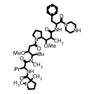 CCC(C)C(C(CC(=O)N1CCCC1C(OC)C(C)C(=O)NC(Cc1ccccc1)C(=O)N1CCNCC1)OC)N(C)C(=O)C(NC(=O)C1(C)CCCN1C)C(C)C